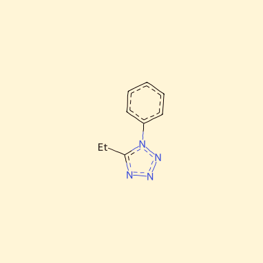 CCc1nnnn1-c1ccccc1